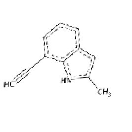 C#Cc1cccc2cc(C)[nH]c12